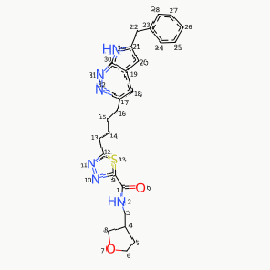 O=C(NCC1CCOC1)c1nnc(CCCCc2cc3cc(Cc4ccccc4)[nH]c3nn2)s1